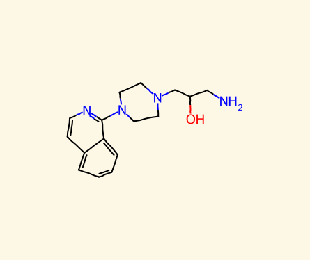 NCC(O)CN1CCN(c2nccc3ccccc23)CC1